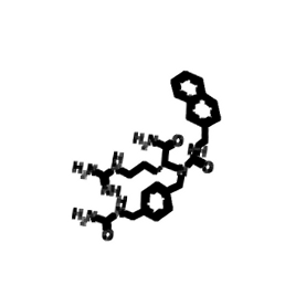 N=C(N)NCCC[C@H](C(N)=O)N(Cc1ccc(CNC(N)=O)cc1)C(=O)NCc1ccc2ccccc2c1